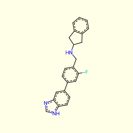 Fc1cc(-c2ccc3[nH]cnc3c2)ccc1CNC1Cc2ccccc2C1